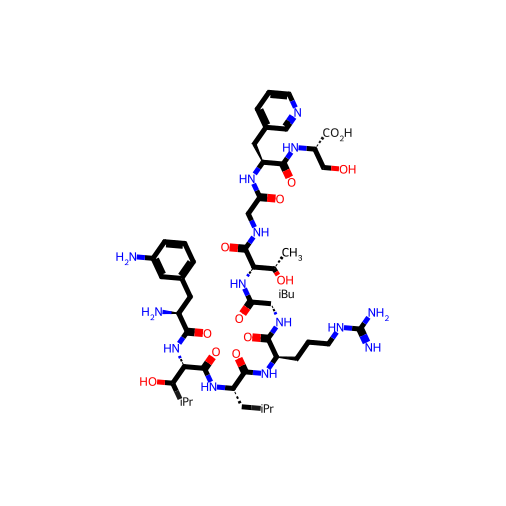 CC[C@H](C)[C@H](NC(=O)[C@@H](CCCNC(=N)N)NC(=O)[C@H](CC(C)C)NC(=O)[C@@H](NC(=O)[C@@H](N)Cc1cccc(N)c1)C(O)C(C)C)C(=O)N[C@H](C(=O)NCC(=O)N[C@@H](Cc1cccnc1)C(=O)N[C@@H](CO)C(=O)O)[C@H](C)O